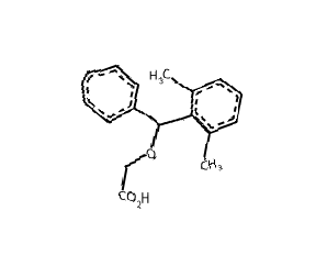 Cc1cccc(C)c1C(OCC(=O)O)c1ccccc1